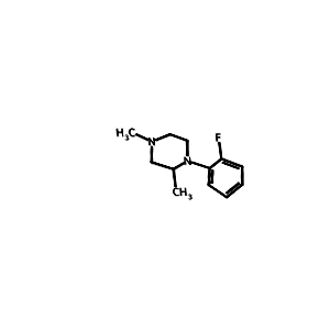 CC1CN(C)CCN1c1ccccc1F